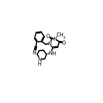 Cn1c(=O)cc(N[C@@H]2CCCNC2)n(Cc2ccccc2C#N)c1=O